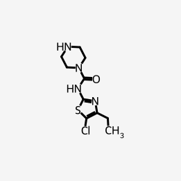 CCc1nc(NC(=O)N2CCNCC2)sc1Cl